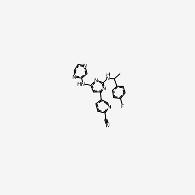 CC(Nc1nc(Nc2cnccn2)cc(-c2ccc(C#N)nc2)n1)c1ccc(F)cc1